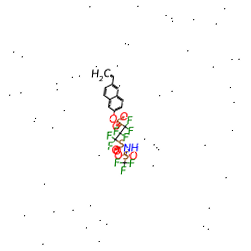 C=Cc1ccc2cc(OS(=O)(=O)C(F)(F)C(F)(F)C(F)(F)S(=O)(=O)NS(=O)(=O)C(F)(F)F)ccc2c1